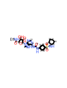 CCNC(=O)[C@H]1O[C@@H](n2cnc3c(NC(=O)Nc4ccc(S(=O)(=O)NC5CCCCC5)cc4)ncnc32)C(O)C1O